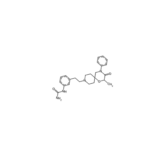 CC1OC2(CCN(CCc3cccc(NC(N)=O)c3)CC2)CN(c2ccccc2)C1=O